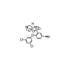 N#Cc1ccc(Oc2cc(Cl)cc(Cl)c2)c(S(=O)(=O)N[C@@H]2CN3CCC2CC3)c1